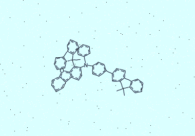 CC1(C)c2ccccc2-c2ccc(-c3ccc(N(c4ccccc4)c4ccc5c(oc6ccccc65)c4C4(C)c5ccccc5-c5ccccc54)cc3)cc21